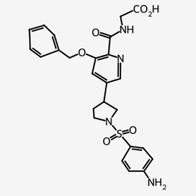 Nc1ccc(S(=O)(=O)N2CCC(c3cnc(C(=O)NCC(=O)O)c(OCc4ccccc4)c3)C2)cc1